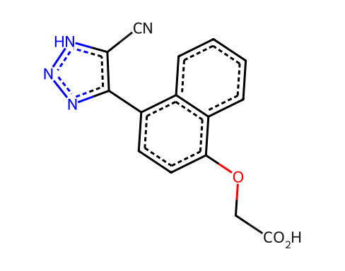 N#Cc1[nH]nnc1-c1ccc(OCC(=O)O)c2ccccc12